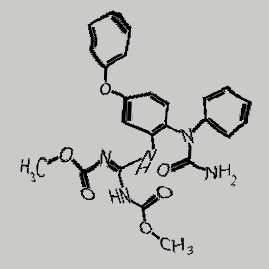 COC(=O)N=C(NC(=O)OC)Nc1cc(Oc2ccccc2)ccc1N(C(N)=O)c1ccccc1